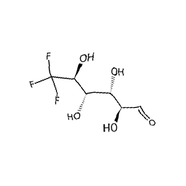 O=C[C@@H](O)[C@@H](O)[C@H](O)[C@H](O)C(F)(F)F